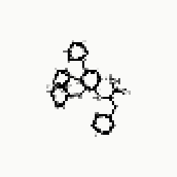 O=C(O)C(Cc1ccccc1)Oc1ccc(-c2ccccc2)c(-c2ccsc2)c1Cc1ccccc1